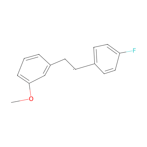 COc1cccc(C[CH]c2ccc(F)cc2)c1